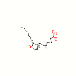 CCCCCC/C=C/[C@H]1C(=O)C=C[C@@H]1C/C=C\CCCC(=O)O